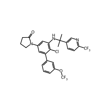 CC(C)(Nc1cc(N2CCCC2=O)cc(-c2cccc(OC(F)(F)F)c2)c1Cl)c1ccc(C(F)(F)F)nc1